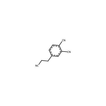 N#CCCc1ccc(C#N)c(C#N)c1